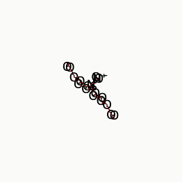 C=CC(=O)OCCCCCCOc1ccc(OC(=O)C2CCC(C(=O)OCCc3ccc(OC(=O)C4CCC(C(=O)Oc5ccc(OCCCCCCOC(=O)C=C)cc5)CC4)c4nc(-c5ccc([N+](=O)[O-])cc5)sc34)CC2)cc1